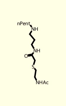 CCCCCNCCCNC(=O)CSCCNC(C)=O